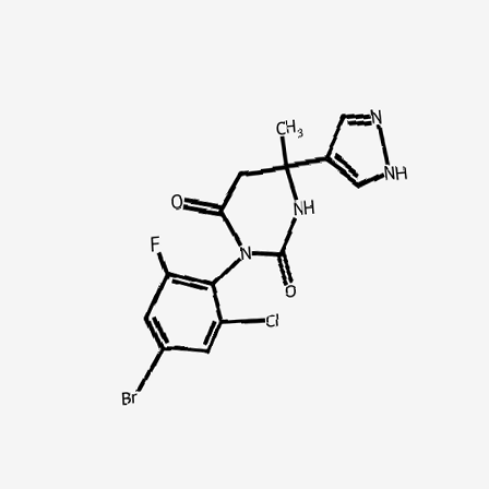 CC1(c2cn[nH]c2)CC(=O)N(c2c(F)cc(Br)cc2Cl)C(=O)N1